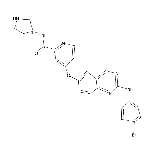 O=C(N[C@@H]1CCNC1)c1cc(Oc2ccc3nc(Nc4ccc(Br)cc4)ncc3c2)ccn1